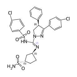 NS(=O)(=O)[C@H]1CC[C@H](/N=C(\NS(=O)(=O)c2ccc(Cl)cc2)N2C[C@@H](c3ccccc3)C(c3ccc(Cl)cc3)=N2)C1